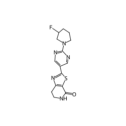 O=C1NCCc2nc(-c3cnc(N4CCCC(F)C4)nc3)sc21